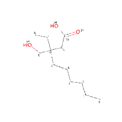 CCCCCCC(CC)(CO)CC(=O)O